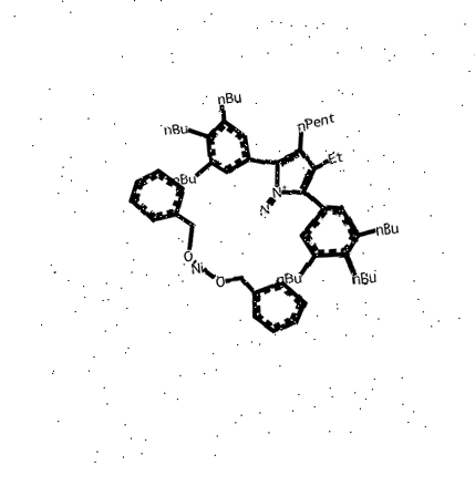 CCCCCC1=C(c2cc(CCCC)c(CCCC)c(CCCC)c2)[N+](=[N-])C(c2cc(CCCC)c(CCCC)c(CCCC)c2)=C1CC.c1ccc(C[O][Ni][O]Cc2ccccc2)cc1